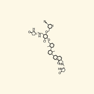 Cc1c(COc2cc(OCc3cncc(C#N)c3)c(CNC[C@@H]3CCC(=O)N3)cc2Cl)cccc1-c1cccc(-c2ccn3c(=O)c(CNC[C@@H]4CCC(=O)N4)ccc3c2)c1C